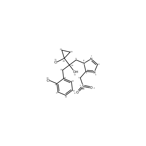 O=[SH](=O)Cc1ncnn1CC(O)(Cc1ccccc1Cl)C1(Cl)CC1